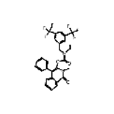 CCN(Cc1cc(C(F)(F)F)cc(C(F)(F)F)c1)C(=O)Oc1c(-c2ccccc2)c2ccccc2c(=O)n1C